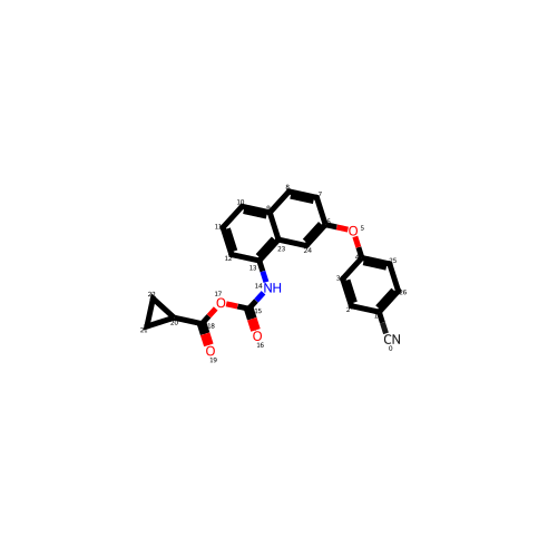 N#Cc1ccc(Oc2ccc3cccc(NC(=O)OC(=O)C4CC4)c3c2)cc1